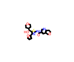 O=C(Nc1nc(-c2ccco2)c(C(O)C2CCOCC2)s1)c1cnc2c(c1)COCC2